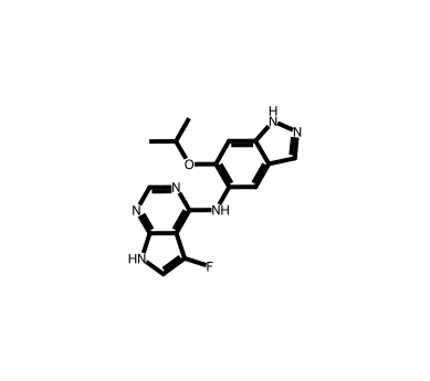 CC(C)Oc1cc2[nH]ncc2cc1Nc1ncnc2[nH]cc(F)c12